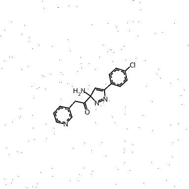 NC1(C(=O)Cc2cccnc2)C=C(c2ccc(Cl)cc2)N=N1